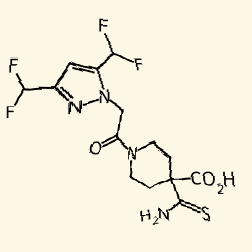 NC(=S)C1(C(=O)O)CCN(C(=O)Cn2nc(C(F)F)cc2C(F)F)CC1